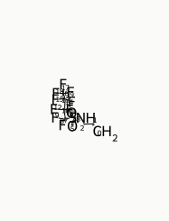 C=CCNS(=O)(=O)C(F)(F)C(F)(F)C(F)(F)C(F)(F)F